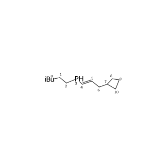 CCC(C)CCPC=CCC1CCC1